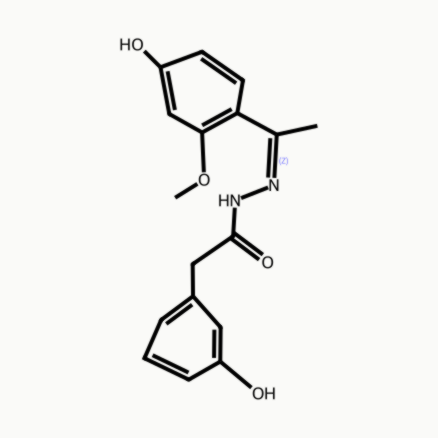 COc1cc(O)ccc1/C(C)=N\NC(=O)Cc1cccc(O)c1